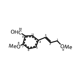 COCC=Cc1ccc(OC)c(C=O)c1